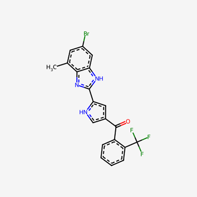 Cc1cc(Br)cc2[nH]c(-c3cc(C(=O)c4ccccc4C(F)(F)F)c[nH]3)nc12